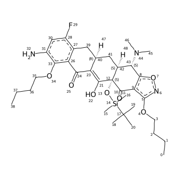 CCCCOc1noc2c1C(=O)[C@@]1(O[Si](C)(C)C(C)(C)C)C(O)=C3C(=O)c4c(c(F)cc(N)c4OCCCC)C[C@H]3C[C@H]1[C@@H]2N(C)C